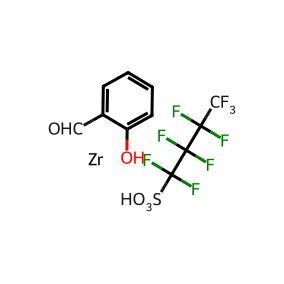 O=Cc1ccccc1O.O=S(=O)(O)C(F)(F)C(F)(F)C(F)(F)C(F)(F)F.[Zr]